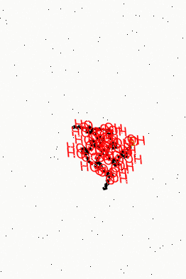 CCCCCOc1cc(C(=O)Oc2cc(C(=O)OCC3OC(OC(=O)c4cc(O)c(O)c(OC(=O)c5cc(O)c(OCCCCS(=O)(=O)O)c(O)c5)c4)C(OC(=O)c4cc(O)c(O)c(OC(=O)c5cc(O)c(O)c(OCCCC)c5)c4)C(OC(=O)c4cc(O)c(O)c(OC(=O)c5cc(O)c(OCCCCC)c(O)c5)c4)C3OC(=O)c3cc(O)c(O)c(OC(=O)c4cc(O)c(O)c(OCCCC)c4)c3)cc(O)c2O)cc(O)c1O